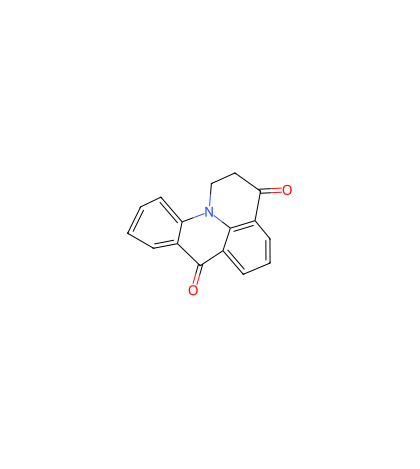 O=C1CCn2c3ccccc3c(=O)c3cccc1c32